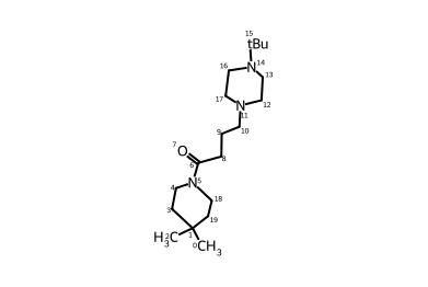 CC1(C)CCN(C(=O)CCCN2CCN(C(C)(C)C)CC2)CC1